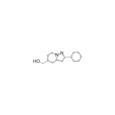 OCc1ccn2nc(-c3ccccc3)cc2c1